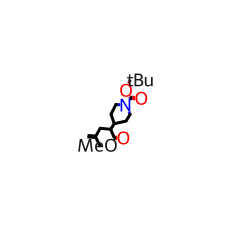 C=C(C)CC(C(=O)OC)C1CCN(C(=O)OC(C)(C)C)CC1